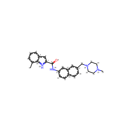 Cc1cccc2cc(C(=O)Nc3ccc4ccc(CN5CCN(C)CC5)cc4c3)[nH]c12